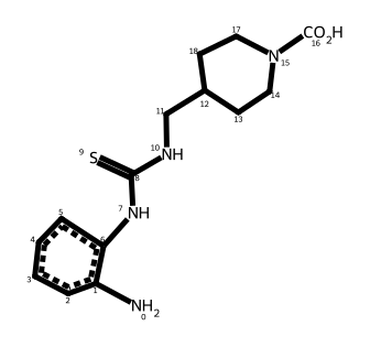 Nc1ccccc1NC(=S)NCC1CCN(C(=O)O)CC1